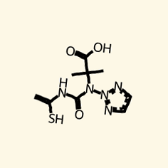 C=C(S)NC(=O)N(n1nccn1)C(C)(C)C(=O)O